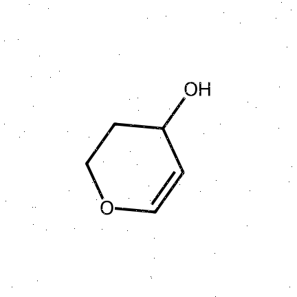 OC1C=COCC1